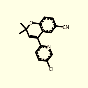 CC1(C)C=C(c2ccc(Cl)cn2)c2cc(C#N)ccc2O1